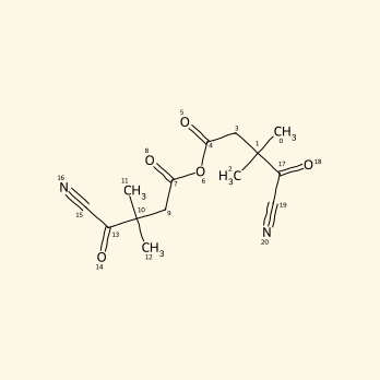 CC(C)(CC(=O)OC(=O)CC(C)(C)C(=O)C#N)C(=O)C#N